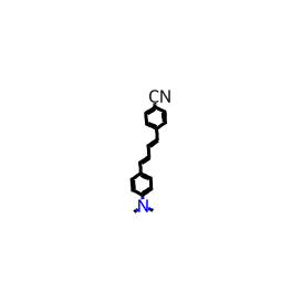 CN(C)c1ccc(C=CC=Cc2ccc(C#N)cc2)cc1